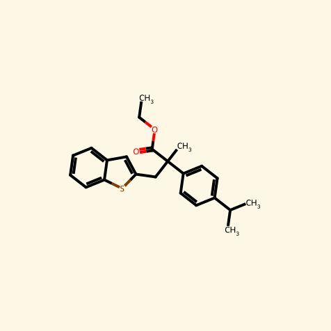 CCOC(=O)C(C)(Cc1cc2ccccc2s1)c1ccc(C(C)C)cc1